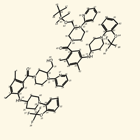 Cc1cc(C)c(C(=O)N2CCN(c3ccccn3)C(CO)C2)cc1NC1CCN(c2ccccc2OC(F)(F)F)CC1.Cc1cc(C)c(C(=O)N2CCN(c3ccccn3)[C@H](CO[Si](C)(C)C(C)(C)C)C2)cc1NC1CCN(c2ccccc2OC(F)(F)F)CC1